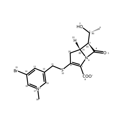 C[C@@H](O)[C@H]1C(=O)N2C(C(=O)[O-])=C(SCc3cc(Br)c[n+](C)c3)C[C@H]12